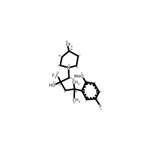 COc1ccc(F)cc1C(C)(C)CC(O)(CN1CCC(C(F)(F)F)CC1)C(F)(F)F